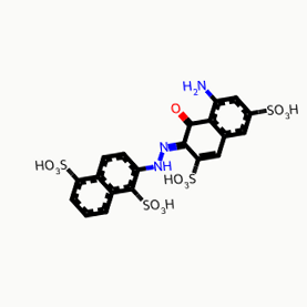 Nc1cc(S(=O)(=O)O)cc2c1C(=O)/C(=N/Nc1ccc3c(S(=O)(=O)O)cccc3c1S(=O)(=O)O)C(S(=O)(=O)O)=C2